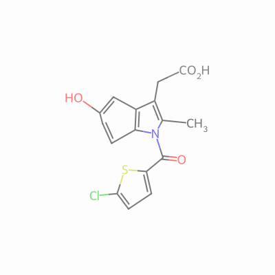 Cc1c(CC(=O)O)c2cc(O)ccc2n1C(=O)c1ccc(Cl)s1